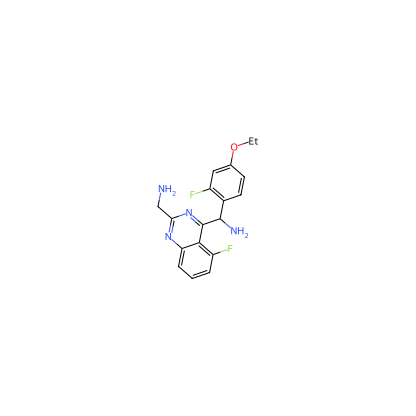 CCOc1ccc(C(N)c2nc(CN)nc3cccc(F)c23)c(F)c1